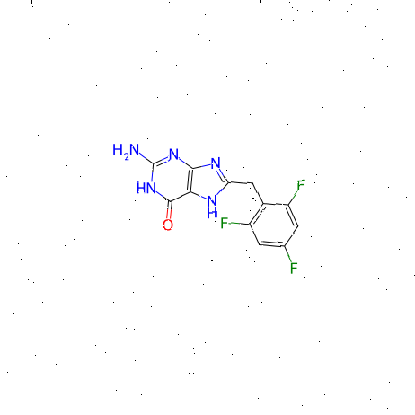 Nc1nc2nc(Cc3c(F)cc(F)cc3F)[nH]c2c(=O)[nH]1